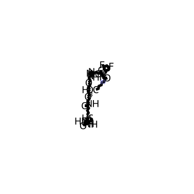 CCCC/C=C/C(=O)N[C@@H](Cc1cc(F)cc(F)c1)C(=O)OCc1cn(CCOCCOCCOCCNC(=O)CCCC[C@@H]2SC[C@@H]3NC(=O)N[C@@H]32)nn1